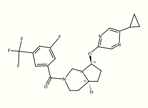 O=C(c1cc(F)cc(C(F)(F)F)c1)N1CC[C@@H]2CC[C@H](Oc3cnc(C4CC4)cn3)N2C1